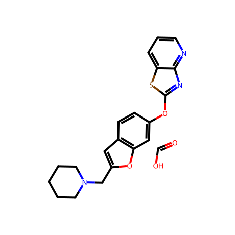 O=CO.c1cnc2nc(Oc3ccc4cc(CN5CCCCC5)oc4c3)sc2c1